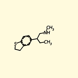 CCC(CNC)c1ccc2c(c1)CCS2